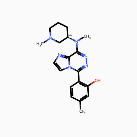 CN1CCC[C@@H](N(C)c2nnc(-c3ccc(C(F)(F)F)cc3O)n3ccnc23)C1